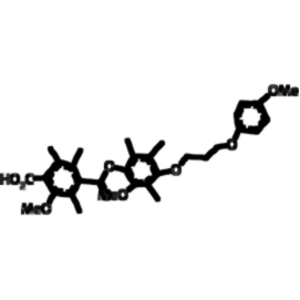 COc1ccc(OCCCOc2c(C)c(C)c(OC(=O)c3c(C)c(C)c(C(=O)O)c(OC)c3C)c(OC)c2C)cc1